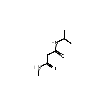 CNC(=O)CC(=O)NC(C)C